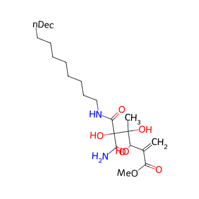 C=C(C(=O)OC)C(O)C(C)(O)C(O)(C(N)=O)C(=O)NCCCCCCCCCCCCCCCCCC